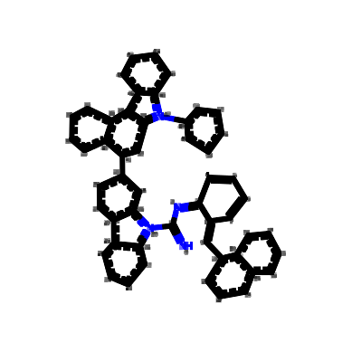 N=C(/N=C1/C=CC=C/C1=C\c1cccc2ccccc12)n1c2ccccc2c2ccc(-c3cc4c(c5ccccc35)c3ccccc3n4-c3ccccc3)cc21